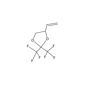 C=CC1COC(C(F)(F)F)(C(F)(F)F)O1